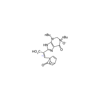 CCCCN1C[N+]([O-])(CCCC)C(=O)c2nc(/C(=C\C34C=CC(=CC3=O)O4)C(=O)O)[nH]c21